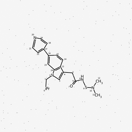 CC(C)Cn1cc(CC(=O)NSN(C)C)c2ccc(-c3ccncc3)cc21